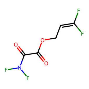 O=C(OCC=C(F)F)C(=O)N(F)F